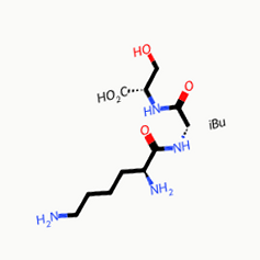 CC[C@H](C)[C@H](NC(=O)[C@@H](N)CCCCN)C(=O)N[C@@H](CO)C(=O)O